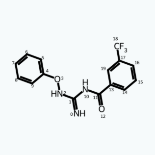 N=C(NOc1ccccc1)NC(=O)c1cccc(C(F)(F)F)c1